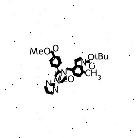 COC(=O)c1ccc([C@@H]2CN(c3ncccn3)CCN2Cc2c(OC)cc(C)c3c2ccn3C(=O)OC(C)(C)C)cc1